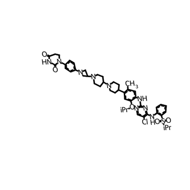 Cc1cc(Nc2ncc(Cl)c(Nc3ccccc3S(=O)(=O)C(C)C)n2)c(OC(C)C)cc1C1CCN(C2CCN(C3CN(c4ccc(N5CCC(=O)NC5=O)cc4)C3)CC2)CC1